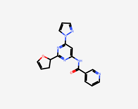 O=C(Nc1cc(-n2cccn2)nc(C2CC=CO2)n1)c1cccnc1